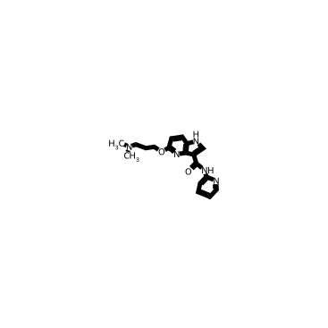 CN(C)CCCOc1ccc2[nH]cc(C(=O)Nc3ccccn3)c2n1